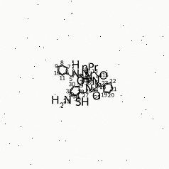 CCCN(C(=O)NCc1ccccc1)N1CC(=O)N2[C@@H](c3ccccc3)C(=O)N(Cc3cccc(N)c3S)C[C@@H]21